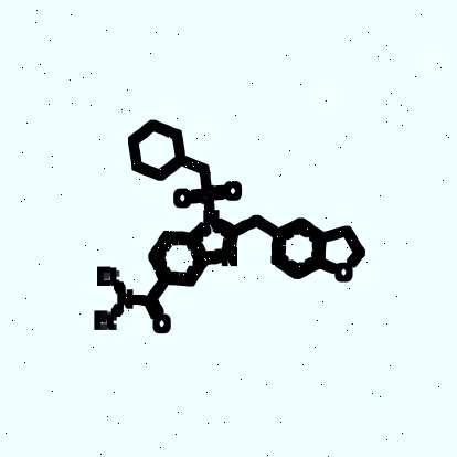 CCN(CC)C(=O)c1ccc2c(c1)nc(Cc1ccc3c(c1)CCO3)n2S(=O)(=O)CC1CCCCC1